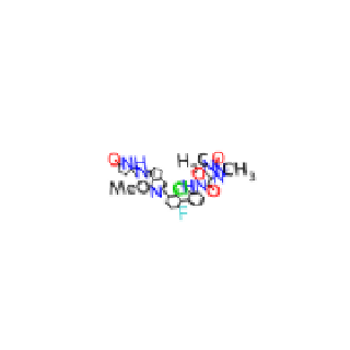 COc1nc(-c2ccc(F)c(-c3cccc(NC(=O)c4nn(C)c(=O)n(C)c4=O)c3Cl)c2Cl)cc2c1[C@@H](N1CC3(CCC(=O)N3)C1)CC2